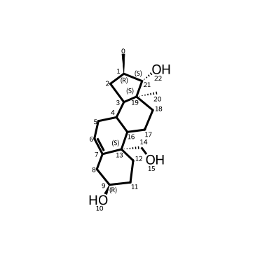 C[C@@H]1CC2C3CC=C4C[C@H](O)CC[C@]4(CO)C3CC[C@]2(C)[C@H]1O